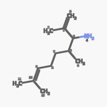 C=C(C)C(N)C(C)CCC=C(C)C